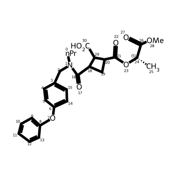 CCCN(Cc1ccc(Oc2ccccc2)cc1)C(=O)C1CC(C(=O)O[C@@H](C)C(=O)OC)C1C(=O)O